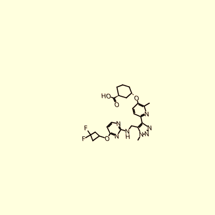 Cc1nc(-c2nnn(C)c2CNc2nccc(OC3CC(F)(F)C3)n2)ccc1O[C@H]1CCC[C@H](C(=O)O)C1